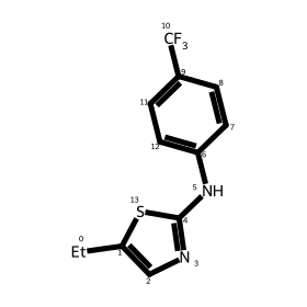 CCc1cnc(Nc2ccc(C(F)(F)F)cc2)s1